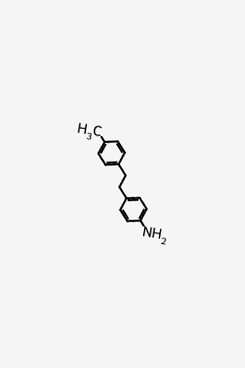 Cc1ccc(CCc2ccc(N)cc2)cc1